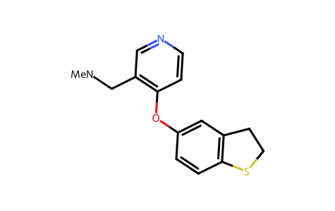 CNCc1cnccc1Oc1ccc2c(c1)CCS2